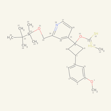 COc1cccc(C2CC(OC(S)=[SH]C)(c3ccnc(CO[Si](C)(C)C(C)(C)C)c3)C2)c1